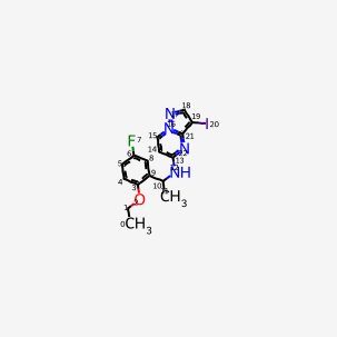 CCOc1ccc(F)cc1C(C)Nc1ccn2ncc(I)c2n1